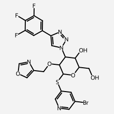 OCC1OC(Sc2cncc(Br)c2)C(OCc2cocn2)C(n2cc(-c3cc(F)c(F)c(F)c3)nn2)C1O